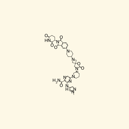 Cn1cc(Nc2nc(N3CCC[C@@H](N4CC5(CN(C6CCN(c7ccc8c(c7)C(=O)N(C7CCC(=O)NC7=O)C8=O)CC6)C5)OC4=O)C3)cnc2C(N)=O)cn1